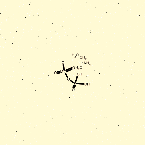 O.O.O.O=P(O)(O)[O][Mo](=[O])(=[O])[O-].[NH4+]